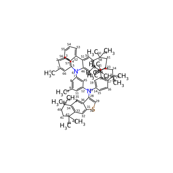 Cc1cccc(N(c2cc(C)cc(N(c3ccc4c(c3)C(C)(C)CCC4(C)C)c3csc4cc5c(cc34)C(C)(C)CCC5(C)C)c2)c2cc3c(cc2-c2ccccc2)C(C)(C)CCC3(C)C)c1